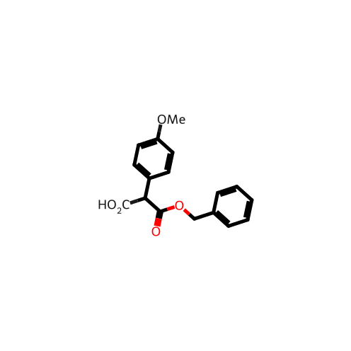 COc1ccc(C(C(=O)O)C(=O)OCc2ccccc2)cc1